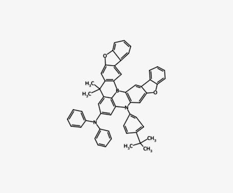 CC(C)(C)c1ccc(N2c3cc4oc5ccccc5c4cc3B3c4cc5c(cc4C(C)(C)c4cc(N(c6ccccc6)c6ccccc6)cc2c43)oc2ccccc25)cc1